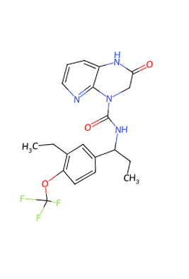 CCc1cc(C(CC)NC(=O)N2CC(=O)Nc3cccnc32)ccc1OC(F)(F)F